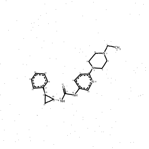 CCN1CCN(c2ccc(NC(=O)N[C@@H]3C[C@H]3c3ccccc3)cn2)CC1